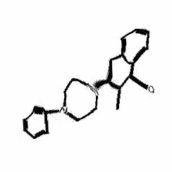 CC1C(=O)c2ccccc2CC1N1CCN(c2ccccc2)CC1